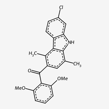 COc1cccc(OC)c1C(=O)c1cc(C)c2[nH]c3cc(Cl)ccc3c2c1C